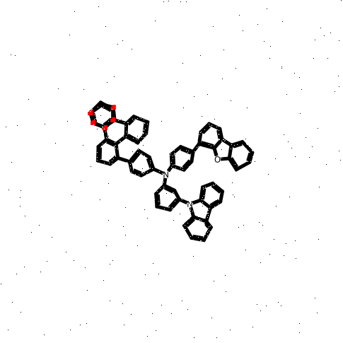 c1ccc(-c2ccccc2-c2c(-c3ccccc3)cccc2-c2ccc(N(c3ccc(-c4cccc5c4oc4ccccc45)cc3)c3cccc(-n4c5ccccc5c5ccccc54)c3)cc2)cc1